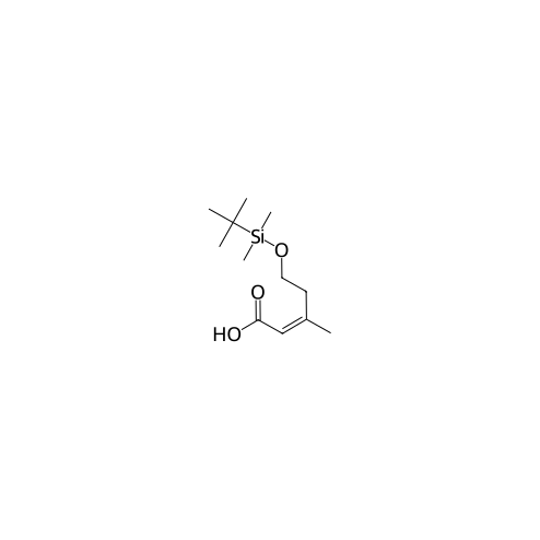 CC(=CC(=O)O)CCO[Si](C)(C)C(C)(C)C